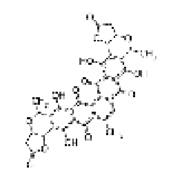 Cc1cc2c(=O)c3c(O)c4c(c(O)c3c(=O)c2c2c(=O)c3c(O)c5c(c(O)c3c(=O)c12)C1OC(=O)CC1OC5C)C1OC(=O)CC1OC4C